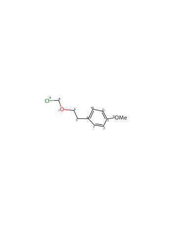 COc1ccc(CCOCCl)cc1